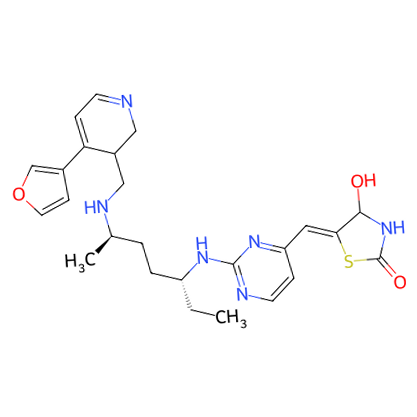 CC[C@H](CC[C@@H](C)NCC1CN=CC=C1c1ccoc1)Nc1nccc(/C=C2\SC(=O)NC2O)n1